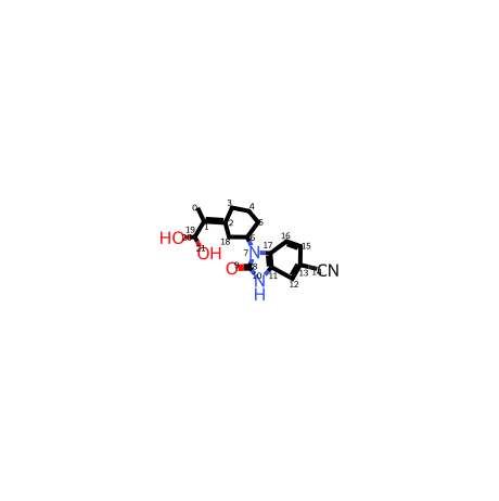 CC(=C1CCCC(n2c(=O)[nH]c3cc(C#N)ccc32)C1)C(O)O